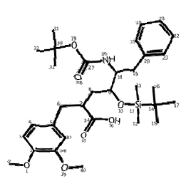 COc1ccc(CC(CC(O[Si](C)(C)C(C)(C)C)C(Cc2ccccc2)NC(=O)OC(C)(C)C)C(=O)O)cc1OC